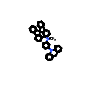 CN(Cc1cccc2c1C1(c3ccccc3-c3ccccc31)c1ccccc1-2)c1cccc(N2c3ccccc3Cc3ccccc32)c1